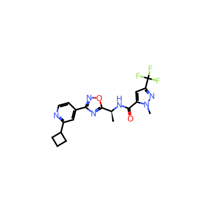 C[C@H](NC(=O)c1cc(C(F)(F)F)nn1C)c1nc(-c2ccnc(C3CCC3)c2)no1